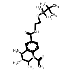 CC(=O)N1c2ccc(C(=O)NCCO[Si](C)(C)C(C)(C)C)cc2[C@H](N)[C@@H](C)[C@@H]1C